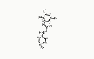 Fc1cc(F)c2sc(CNc3ccc(Br)cc3)nc2c1F